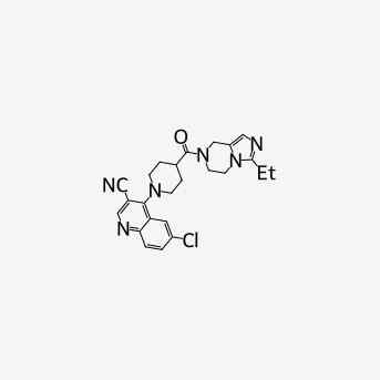 CCc1ncc2n1CCN(C(=O)C1CCN(c3c(C#N)cnc4ccc(Cl)cc34)CC1)C2